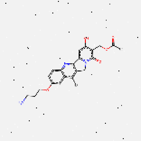 CCC(=O)OCc1c(O)cc2n(c1=O)Cc1c-2nc2ccc(OCCCN)cc2c1CC